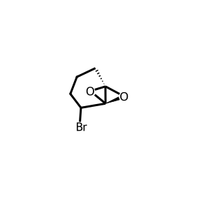 BrC1CCC[C@]23O[C@]12O3